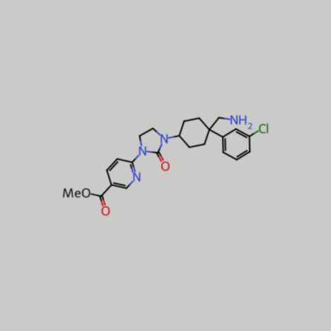 COC(=O)c1ccc(N2CCN(C3CCC(CN)(c4cccc(Cl)c4)CC3)C2=O)nc1